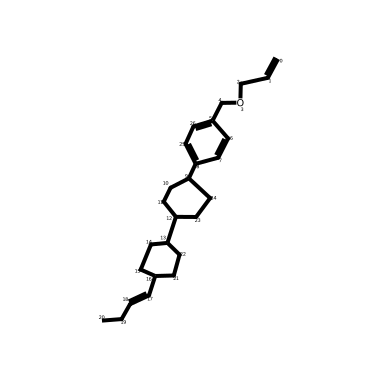 C=CCOCc1ccc(C2CCC(C3CCC(C=CCC)CC3)CC2)cc1